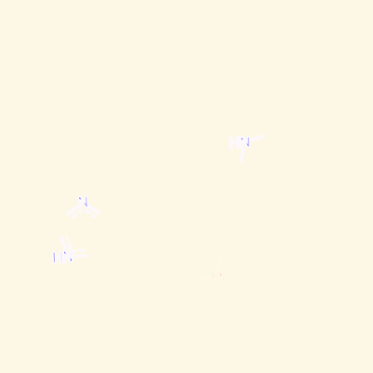 CCNc1ccc2c(c1)C(Cc1c[nH]cn1)CCO2